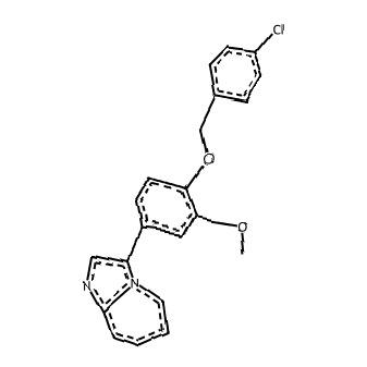 COc1cc(-c2cnc3ccccn23)ccc1OCc1ccc(Cl)cc1